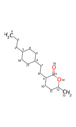 CCCC1CCC(CCC2CCC(C)OC2=O)CC1